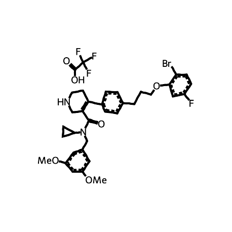 COc1cc(CN(C(=O)C2=C(c3ccc(CCCOc4cc(F)ccc4Br)cc3)CCNC2)C2CC2)cc(OC)c1.O=C(O)C(F)(F)F